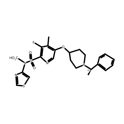 Cc1c(OC2CCN([C@H](C)c3ccccc3)CC2)cnc(S(=O)(=O)N(C(=O)O)c2cscn2)c1F